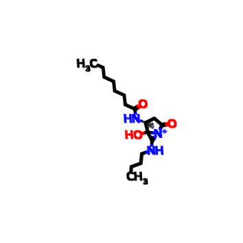 CCCCCCCC(=O)N[C@@H]1CC(=O)[N+]2=C(NCCCC)C12O